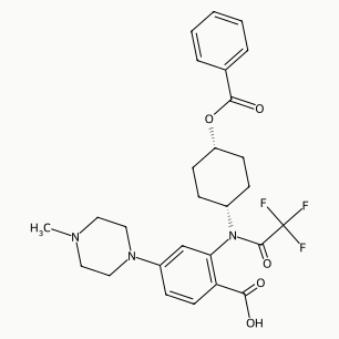 CN1CCN(c2ccc(C(=O)O)c(N(C(=O)C(F)(F)F)[C@H]3CC[C@@H](OC(=O)c4ccccc4)CC3)c2)CC1